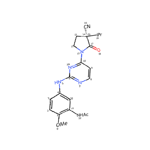 COc1ccc(Nc2nccc(N3CC[C@@](C#N)(C(C)C)C3=O)n2)cc1NC(C)=O